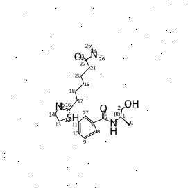 C[C@H](CO)NC(=O)c1cccc([SH]2CCN=C2CCCCCC(=O)N(C)C)c1